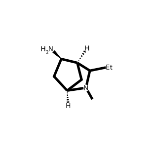 CCC1[C@H]2C[C@H](C[C@H]2N)N1C